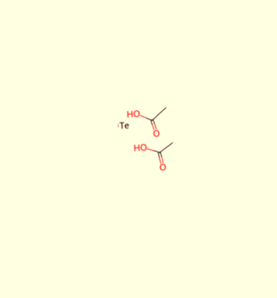 CC(=O)O.CC(=O)O.[Te]